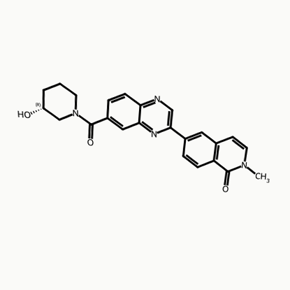 Cn1ccc2cc(-c3cnc4ccc(C(=O)N5CCC[C@@H](O)C5)cc4n3)ccc2c1=O